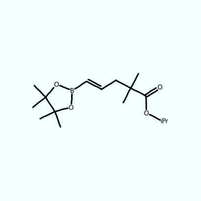 CC(C)OC(=O)C(C)(C)C/C=C/B1OC(C)(C)C(C)(C)O1